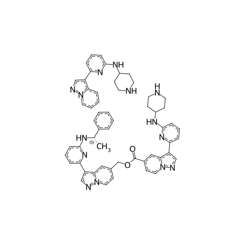 C[C@H](Nc1cccc(-c2cnn3ccc(COC(=O)c4ccn5ncc(-c6cccc(NC7CCNCC7)n6)c5c4)cc23)n1)c1ccccc1.c1cc(NC2CCNCC2)nc(-c2cnn3ccccc23)c1